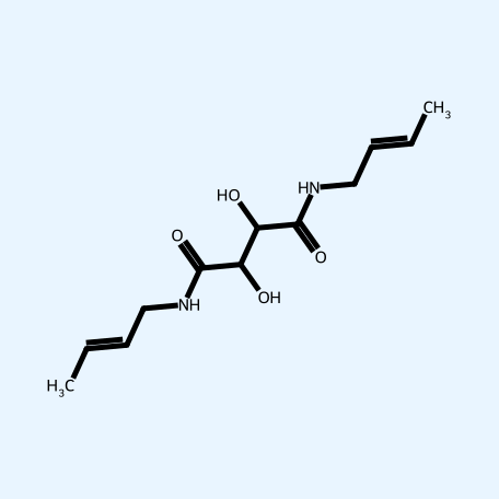 CC=CCNC(=O)C(O)C(O)C(=O)NCC=CC